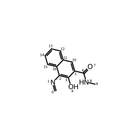 C=Nc1c(O)c(C(=O)NC)cc2ccccc12